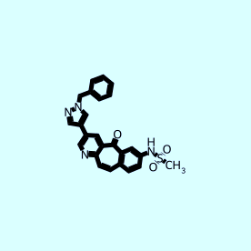 CS(=O)(=O)Nc1ccc2ccc3ncc(-c4cnn(Cc5ccccc5)c4)cc3c(=O)c2c1